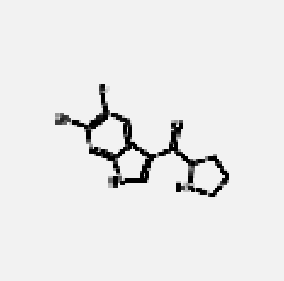 O=C(c1c[nH]c2cc(Br)c(Br)cc12)C1CCCN1